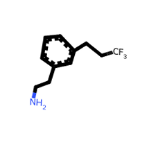 NCCc1cccc(CCC(F)(F)F)c1